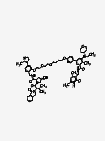 CCN(c1cc(-c2ccc(OCCCCOCCOCCOc3cc(C4=C(C)N=CC4)ccc3CNC(=O)C3C[C@@H](O)CN3C(=O)C(C(C)C)N3Cc4ccccc4C3=O)cc2)cc(C(=O)NCc2c(C)cc(C)[nH]c2=O)c1C)C1CCOCC1